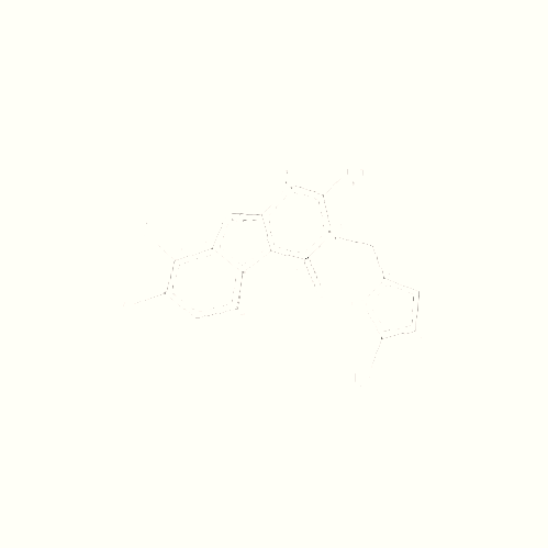 Bc1ccc(Cn2c(CCC)nc3sc4c(O)c(Br)ccc4c3c2=O)o1